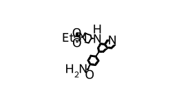 CCS(=O)(=O)N1CCC(Nc2cc(-c3ccc(C(N)=O)cc3)cc3ccncc23)CC1